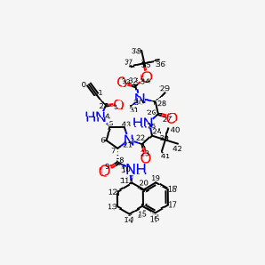 C#CC(=O)N[C@H]1C[C@@H](C(=O)N[C@@H]2CCCc3ccccc32)N(C(=O)C(NC(=O)[C@H](C)N(C)C(=O)OC(C)(C)C)C(C)(C)C)C1